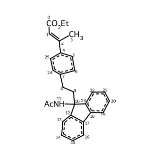 CCOC(=O)C=C(C)c1ccc(CCC2(NC(C)=O)c3ccccc3-c3ccccc32)cc1